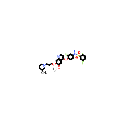 COc1cc2c(Oc3ccc(NS(=O)(=O)c4cc(F)ccc4F)cc3F)ccnc2cc1OCCCN1CCCC(C)C1